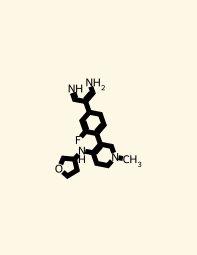 CN1CCC(NC2CCOC2)=C(C2=CCC(/C(C=N)=C/N)C=C2F)C1